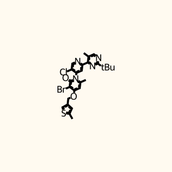 Cc1cc(COc2cc(C)n(-c3cc(-c4nc(C(C)(C)C)ncc4C)ncc3Cl)c(=O)c2Br)cs1